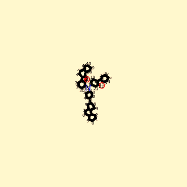 c1ccc2c(c1)ccc1cc(-c3ccc(N(c4ccc5c(c4)oc4ccccc45)c4cccc5c4oc4c6ccccc6ccc54)cc3)ccc12